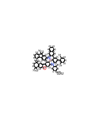 Cc1cc(C(C)(C)C)ccc1N1c2cc3oc4cc5c(cc4c3cc2B2c3c(cc(-c4c(C)cccc4C)cc31)-c1cc3ccccc3cc1N2c1ccc2c(c1)C(C)(C)c1ccccc1-2)C(C)(C)CCC5(C)C